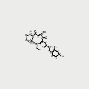 CCN1/C=C(/CC(=O)NCc2ccc(F)cc2F)C(=O)/C(O)=C/C(=O)N2C(C)CCO[C@H]2C1